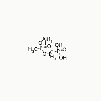 CP(=O)(O)O.CP(=O)(O)O.[AlH3]